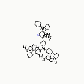 C=C(/C=C\c1c(C)c2ccccc2n1-c1ccccc1)C1=CCC(N(c2ccc3c(c2)C(C)(C)c2ccccc2-3)c2ccc3c(c2)C(C)(C)c2ccccc2-3)C=C1